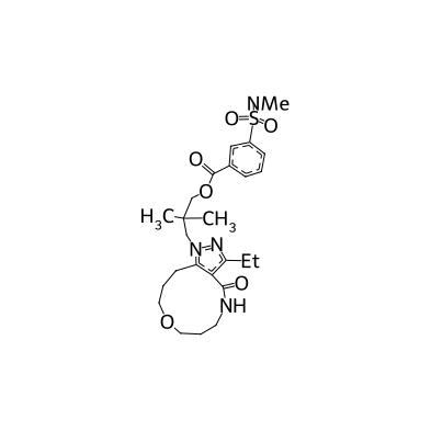 CCc1nn(CC(C)(C)COC(=O)c2cccc(S(=O)(=O)NC)c2)c2c1C(=O)NCCCOCCC2